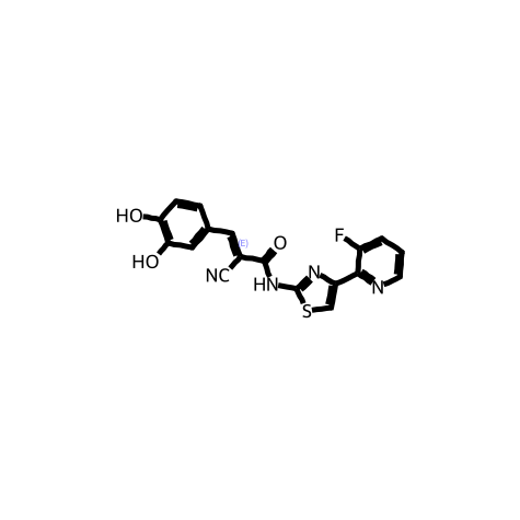 N#C/C(=C\c1ccc(O)c(O)c1)C(=O)Nc1nc(-c2ncccc2F)cs1